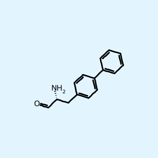 N[C@@H](C=O)Cc1ccc(-c2ccccc2)cc1